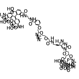 [N-]=[N+]=NC(COc1cccc(C(=O)NCCNC(=O)c2ccc(C(=O)O)c(-c3c4ccc(=N)c(S(=O)(=O)O)c-4oc4c(S(=O)(=O)O)c(N)ccc34)c2)c1)OCCOCC(=O)NCC#Cc1cn([C@H]2CC(O[C@H](F)N=[N+]=[N-])[C@@H](COP(=O)(O)OP(=O)(O)OP(=O)(O)O)O2)c(=O)nc1N